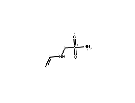 NS(=O)(=O)CNC=S